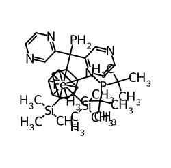 CC(C)(C)P(C[C]12[C]3(C(P)(c4cnccn4)c4cnccn4)[CH]4[C]5([Si](C)(C)C)[C]1([Si](C)(C)C)[Fe]42351678[CH]2[CH]1[CH]6[CH]7[CH]28)C(C)(C)C